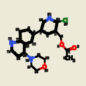 CC(=O)OCc1cc(-c2ccc3nccc(N4CCOCC4)c3c2)cnc1Cl